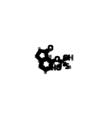 O=C1CCc2cccc(OP(O)(O)=S)c21